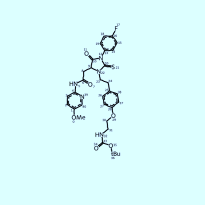 COc1ccc(NC(=O)CC2C(=O)N(c3ccc(F)cc3)C(=S)N2CCc2ccc(OCCNC(=O)OC(C)(C)C)cc2)nc1